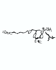 CCCCCCCCCCCCCCCOCC(COP(=O)(O)CCN(C)C)OC(=O)CC